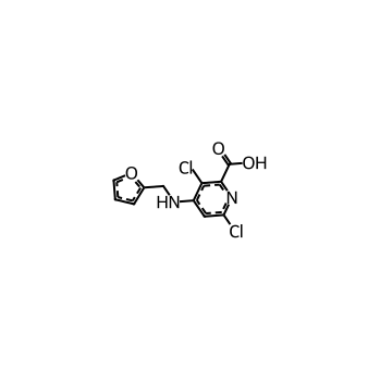 O=C(O)c1nc(Cl)cc(NCc2ccco2)c1Cl